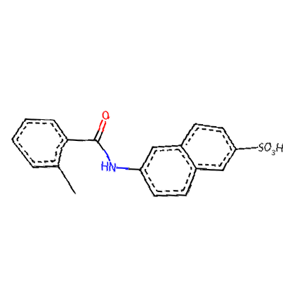 Cc1ccccc1C(=O)Nc1ccc2cc(S(=O)(=O)O)ccc2c1